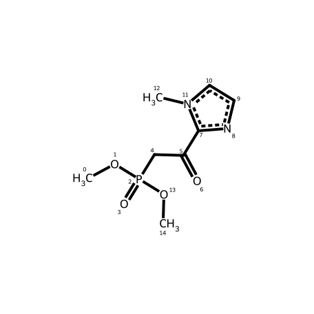 COP(=O)(CC(=O)c1nccn1C)OC